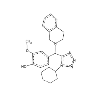 COc1cc(C(c2nnnn2C2CCCCC2)N2CCc3ccccc3C2)ccc1O